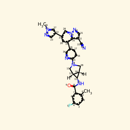 Cc1ccc(F)cc1C(=O)N[C@H]1[C@@H]2CN(c3ccc(-c4cc(-c5cnn(C)c5)cn5ncc(C#N)c45)cn3)C[C@@H]21